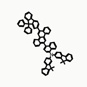 CC1(C)c2ccccc2-c2ccc(N(c3ccc4c(c3)C(C)(C)c3ccccc3-4)c3ccc(-c4cc5c6ccccc6c(-c6ccc7c(c6)C(c6ccccc6)(c6ccccc6)c6ccccc6-7)cc5c5ccccc45)c4ccccc34)cc21